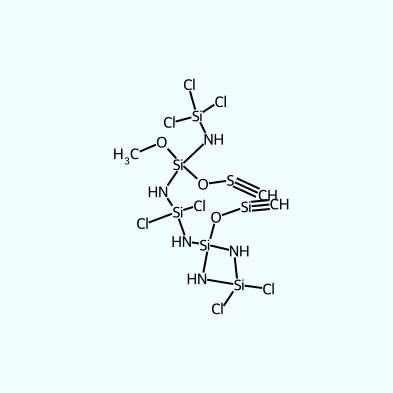 C#[Si]O[Si]1(N[Si](Cl)(Cl)N[Si](N[Si](Cl)(Cl)Cl)(OC)OS#C)N[Si](Cl)(Cl)N1